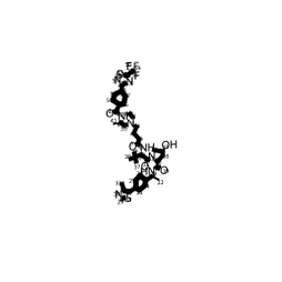 CCN(CCCC(=O)N[C@H](C(=O)N1C[C@H](O)C[C@H]1C(=O)N[C@@H](C)c1ccc(-c2scnc2C)cc1)C(C)(C)C)C[C@@H](C)NC(=O)c1ccc(-c2noc(C(F)(F)F)n2)cc1